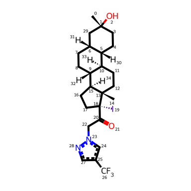 C[C@@]1(O)CC[C@H]2[C@H](CC[C@@H]3[C@@H]2CC[C@@]2(C)[C@H]3CC[C@]2(I)C(=O)Cn2cc(C(F)(F)F)cn2)C1